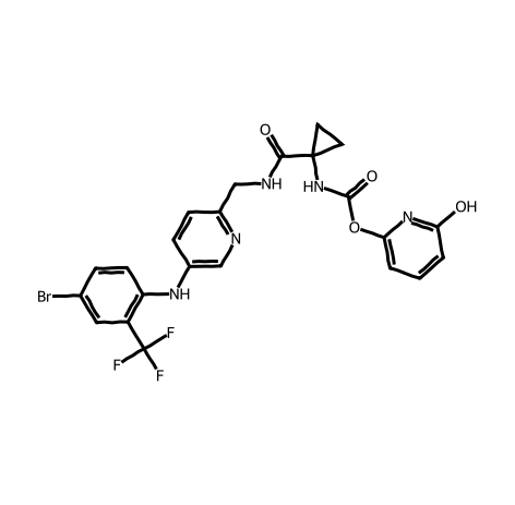 O=C(NC1(C(=O)NCc2ccc(Nc3ccc(Br)cc3C(F)(F)F)cn2)CC1)Oc1cccc(O)n1